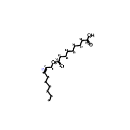 CCCCCC/C=C\COC(=O)CCCCCCCC(=O)O